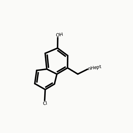 CCCCCCCCc1cc(O)cc2ccc(Cl)cc12